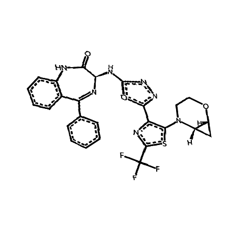 O=C1Nc2ccccc2C(c2ccccc2)=N[C@@H]1Nc1nnc(-c2nc(C(F)(F)F)sc2N2CCO[C@@H]3C[C@@H]32)o1